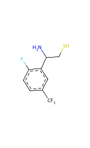 NC(CS)c1cc(C(F)(F)F)ccc1F